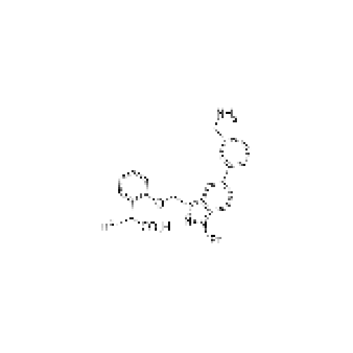 CCCC(C(=O)O)c1ccccc1OCc1nn(C(C)C)c2ccc(-c3cccc(CN)c3)cc12